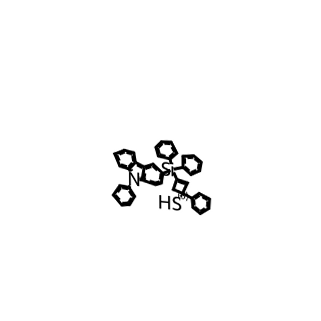 S[C@]1(c2ccccc2)C=C([Si](c2ccccc2)(c2ccccc2)c2ccc3c(c2)c2ccccc2n3-c2ccccc2)C1